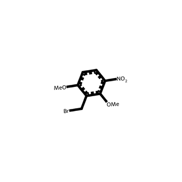 COc1ccc([N+](=O)[O-])c(OC)c1CBr